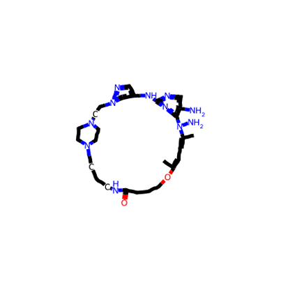 C/C1=C\C=C(/C)N(N)c2nc(ncc2N)Nc2cnn(c2)CCN2CCN(CCCNC(=O)CCCO1)CC2